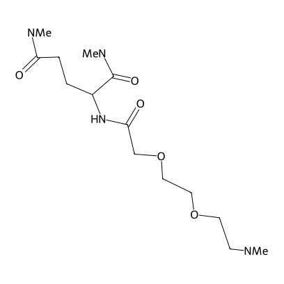 CNCCOCCOCC(=O)NC(CCC(=O)NC)C(=O)NC